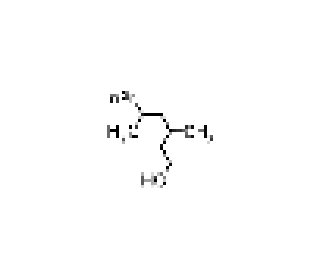 CCCC(C)CC(C)CCO